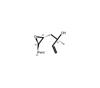 C=C[C@](C)(O)C[C@H]1O[C@@H]1[C@H](C)CCC